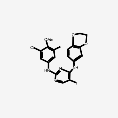 COc1c(C)cc(Nc2ncc(F)c(Nc3ccc4c(c3)OCCO4)n2)cc1Cl